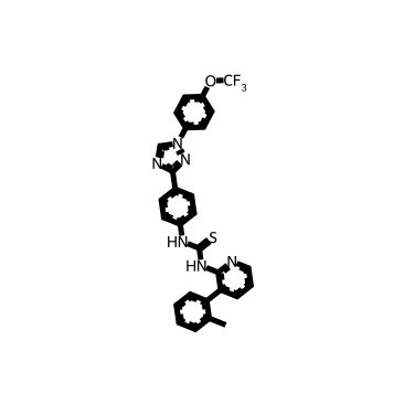 Cc1ccccc1-c1cccnc1NC(=S)Nc1ccc(-c2ncn(-c3ccc(OC(F)(F)F)cc3)n2)cc1